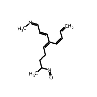 C=C\C=C/C(/C=C/C=N\C)=C\CCC(C)N=O